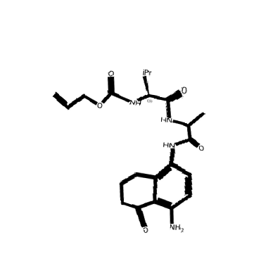 C=CCOC(=O)N[C@H](C(=O)NC(C)C(=O)Nc1ccc(N)c2c1CCCC2=O)C(C)C